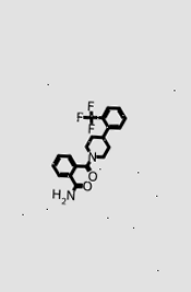 NC(=O)c1ccccc1C(=O)N1CCC(c2ccccc2C(F)(F)F)CC1